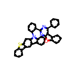 c1ccc(-c2nc(-c3ccccc3-n3c4ccccc4c4cc5c(cc43)sc3ccccc35)nc3oc4ccccc4c23)cc1